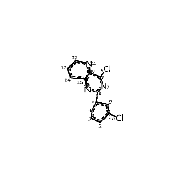 Clc1cccc(-c2nc(Cl)c3ncccc3n2)c1